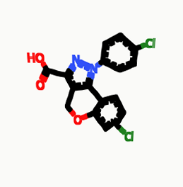 O=C(O)c1nn(-c2ccc(Cl)cc2)c2c1COc1cc(Cl)ccc1-2